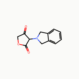 O=C1COC(=O)C1N1Cc2ccccc2C1